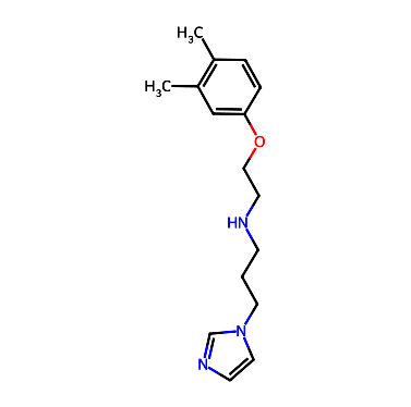 Cc1ccc(OCCNCCCn2ccnc2)cc1C